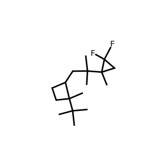 CC(C)(C)C1(C)CCC1CC(C)(C)C1(C)CC1(F)F